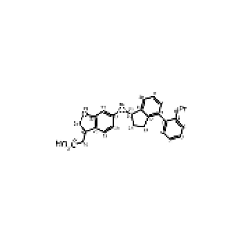 CC(C)c1ccccc1-c1cccc2c1CC[C@H]2Oc1ccc2c(c1)OCC2CC(=O)O